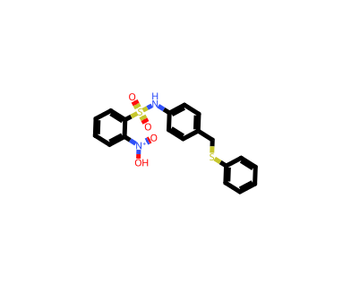 O=[N+](O)c1ccccc1S(=O)(=O)Nc1ccc(CSc2ccccc2)cc1